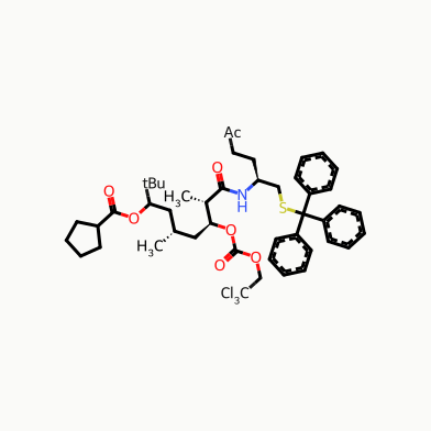 CC(=O)CC[C@@H](CSC(c1ccccc1)(c1ccccc1)c1ccccc1)NC(=O)[C@@H](C)[C@H](C[C@H](C)CC(OC(=O)C1CCCC1)C(C)(C)C)OC(=O)OCC(Cl)(Cl)Cl